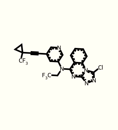 FC(F)(F)CN(c1cncc(C#CC2(C(F)(F)F)CC2)c1)c1nc2nnc(Cl)n2c2ccccc12